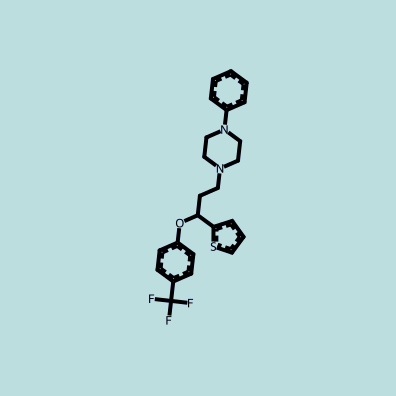 FC(F)(F)c1ccc(OC(CCN2CCN(c3ccccc3)CC2)c2cccs2)cc1